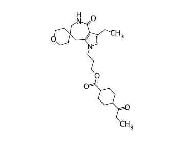 CCC(=O)C1CCC(C(=O)OCCCn2cc(CC)c3c2CC2(CCOCC2)CNC3=O)CC1